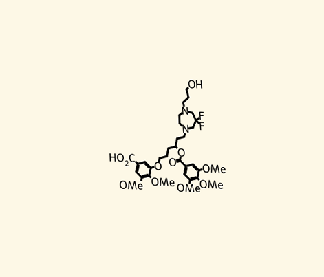 COc1cc(C(=O)OC(CCCOc2cc(C(=O)O)cc(OC)c2OC)CCN2CCN(CCCO)CC(F)(F)C2)cc(OC)c1OC